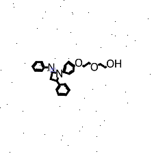 OCCOCCOc1ccc(N2/C(=N/c3ccccc3)CC2c2ccccc2)cc1